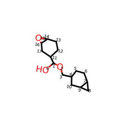 OC(OCC1CCC2CC2C1)C1CCC2OC2C1